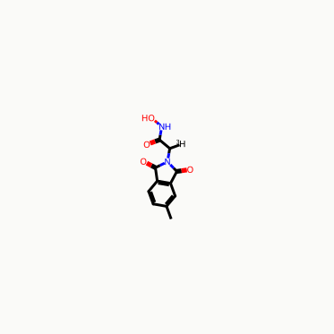 [3H]C(C(=O)NO)N1C(=O)c2ccc(C)cc2C1=O